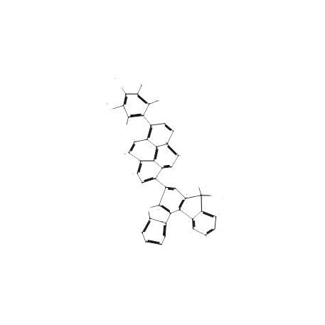 Bc1c(B)c(-c2ccc3ccc4c(-c5cc6c(c7c5oc5ccccc57)-c5ccccc5C6(C)C)ccc5ccc2c3c54)c(O)c(O)c1O